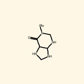 CC(C)(C)N1CNC2NCNC2C1=O